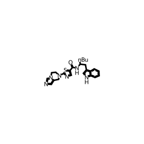 CCCCC(Cc1c[nH]c2ccccc12)NC(=O)c1cnc(N2CCn3cncc3C2)s1